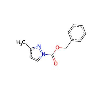 Cc1ccn(C(=O)OCc2ccccc2)n1